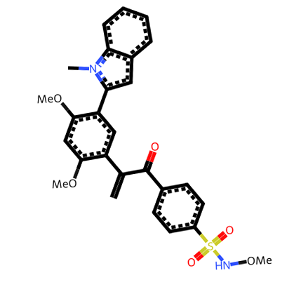 C=C(C(=O)c1ccc(S(=O)(=O)NOC)cc1)c1cc(-c2cc3ccccc3n2C)c(OC)cc1OC